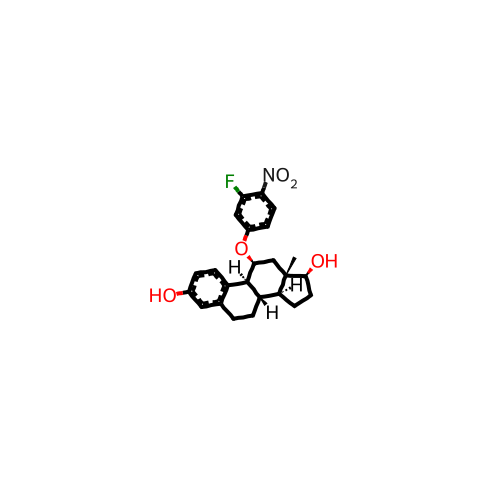 C[C@]12C[C@H](Oc3ccc([N+](=O)[O-])c(F)c3)[C@@H]3c4ccc(O)cc4CC[C@H]3[C@@H]1CC[C@@H]2O